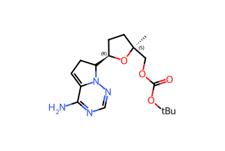 CC(C)(C)OC(=O)OC[C@]1(C)CC[C@H](C2CC=C3C(N)=NC=NN32)O1